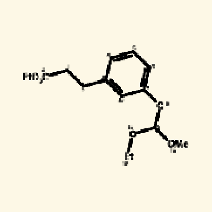 CCOC(=O)CCc1cccc(OC(OC)OCC)c1